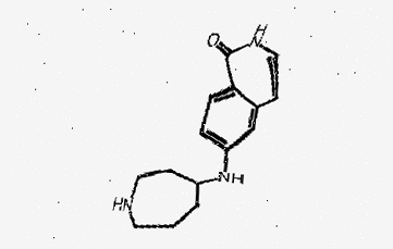 O=c1[nH]ccc2cc(NC3CCCNCC3)ccc12